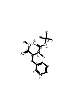 COC(=O)C(Cc1cccnc1)N(C)C(=O)OC(C)(C)C